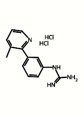 Cc1cccnc1-c1cccc(NC(=N)N)c1.Cl.Cl